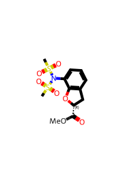 COC(=O)[C@H]1Cc2cccc(N(S(C)(=O)=O)S(C)(=O)=O)c2O1